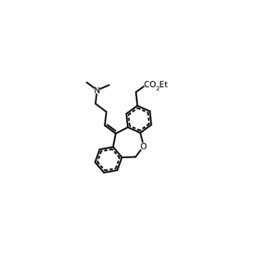 CCOC(=O)Cc1ccc2c(c1)C(=CCCN(C)C)c1ccccc1CO2